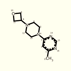 Cc1cc(N2CCN(C3COC3)CC2)ncn1